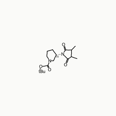 CC1C(=O)N([C@H]2CCCN(C(=O)OC(C)(C)C)C2)C(=O)C1C